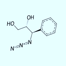 [N-]=[N+]=N[C@H](c1ccccc1)[C@@H](O)CO